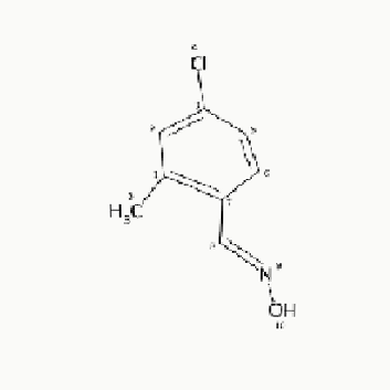 Cc1cc(Cl)ccc1C=NO